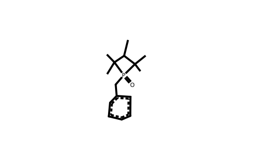 CC1C(C)(C)P(=O)(Cc2ccccc2)C1(C)C